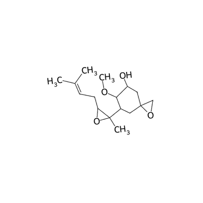 COC1C(O)CC2(CO2)CC1C1(C)OC1CC=C(C)C